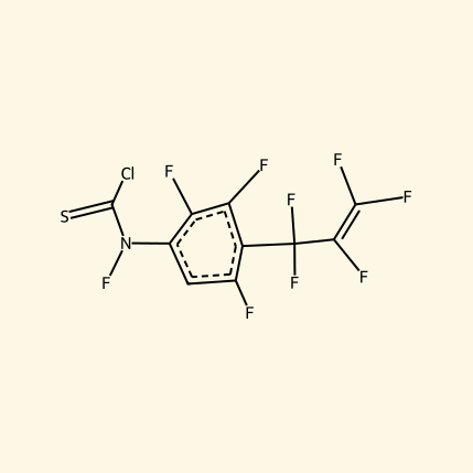 FC(F)=C(F)C(F)(F)c1c(F)cc(N(F)C(=S)Cl)c(F)c1F